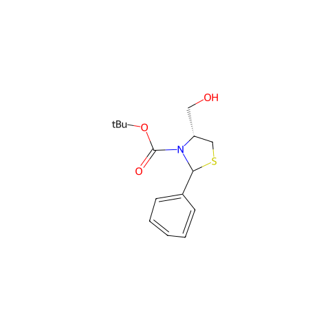 CC(C)(C)OC(=O)N1C(c2ccccc2)SC[C@H]1CO